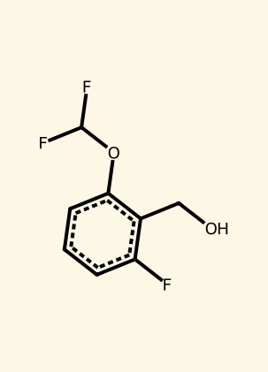 OCc1c(F)cccc1OC(F)F